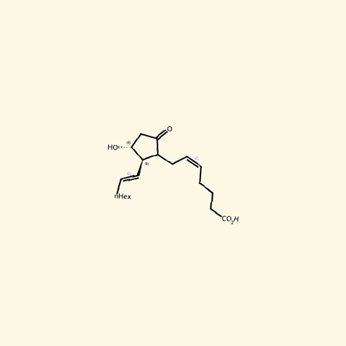 CCCCCC/C=C/[C@@H]1C(C/C=C\CCCC(=O)O)C(=O)C[C@H]1O